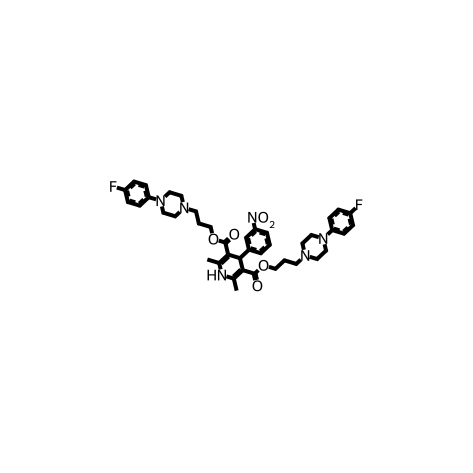 CC1=C(C(=O)OCCCN2CCN(c3ccc(F)cc3)CC2)C(c2cccc([N+](=O)[O-])c2)C(C(=O)OCCCN2CCN(c3ccc(F)cc3)CC2)=C(C)N1